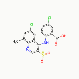 Cc1cc(Cl)cc2c(Nc3ccc(Cl)cc3C(=O)O)c([SH](=O)=O)cnc12